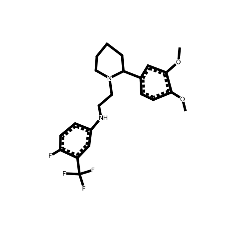 COc1ccc(C2CCCCN2CCNc2ccc(F)c(C(F)(F)F)c2)cc1OC